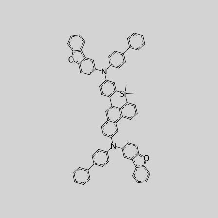 C[Si]1(C)c2cc(N(c3ccc(-c4ccccc4)cc3)c3ccc4oc5ccccc5c4c3)ccc2-c2cc3ccc(N(c4ccc(-c5ccccc5)cc4)c4ccc5oc6ccccc6c5c4)cc3c3cccc1c23